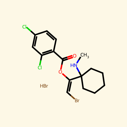 Br.CNC1(/C(=C\Br)OC(=O)c2ccc(Cl)cc2Cl)CCCCC1